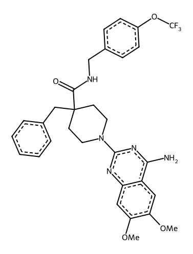 COc1cc2nc(N3CCC(Cc4ccccc4)(C(=O)NCc4ccc(OC(F)(F)F)cc4)CC3)nc(N)c2cc1OC